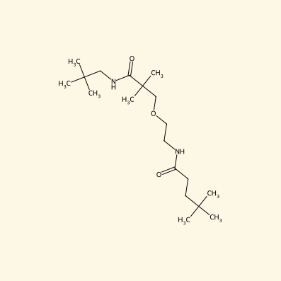 CC(C)(C)CCC(=O)NCCOCC(C)(C)C(=O)NCC(C)(C)C